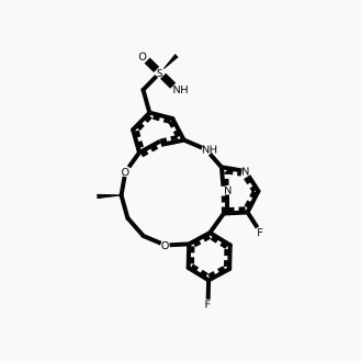 C[C@@H]1CCOc2cc(F)ccc2-c2nc(ncc2F)Nc2cc(C[S@@](C)(=N)=O)cc(c2)O1